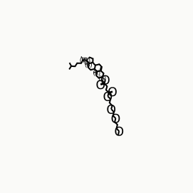 COCCCOCCOCCCOC(=O)CCC(=O)O[C@H]1CC[C@@]2(C)C(=CCC3C2CC[C@@]2(C)C3CC[C@@H]2[C@H](C)CCCC(C)C)C1